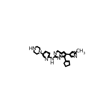 Cn1cc(-c2cc3cnc(Nc4ccc(N5CCNCC5)cn4)nn3c2C2=CCCC2)cn1